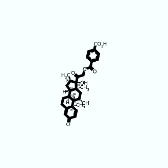 C[C@@H]1C[C@H]2[C@@H]3CCC4=CC(=O)C=C[C@]4(C)[C@@]3(F)[C@@H](O)C[C@]2(C)[C@@]1(O)C(=O)COC(=O)c1ccc(C(=O)O)cc1